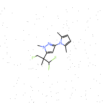 Cc1ccc(C)n1-c1cc(C(C)(CF)C(F)F)n(C)n1